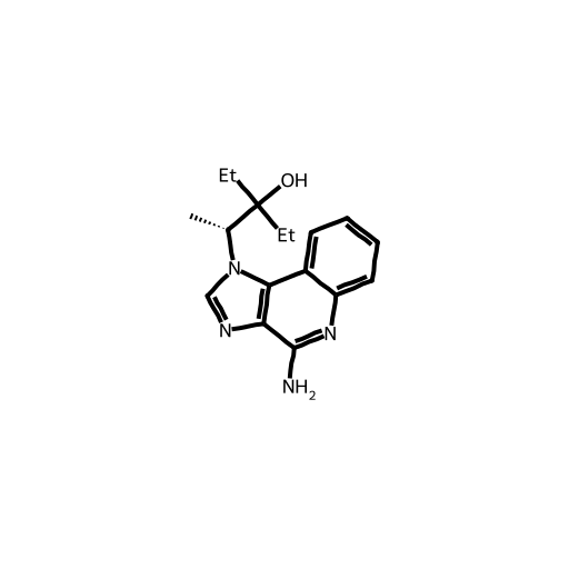 CCC(O)(CC)[C@@H](C)n1cnc2c(N)nc3ccccc3c21